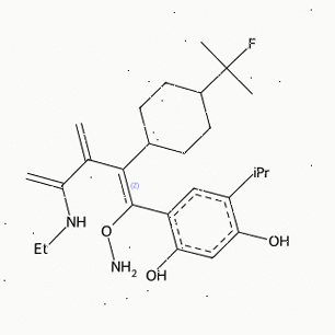 C=C(NCC)C(=C)/C(=C(\ON)c1cc(C(C)C)c(O)cc1O)C1CCC(C(C)(C)F)CC1